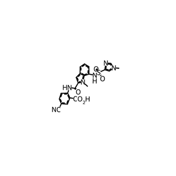 Cn1cnc(S(=O)(=O)Nc2cccc3cc(C(=O)Nc4ccc(C#N)cc4C(=O)O)n(C)c23)c1